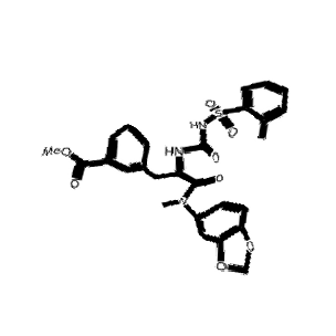 COC(=O)c1cccc(CC(NC(=O)NS(=O)(=O)c2ccccc2C)C(=O)N(C)c2ccc3c(c2)OCO3)c1